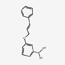 OB(O)c1cccc(OC/C=C/c2ccccc2)c1